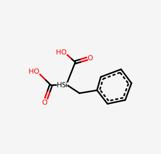 O=C(O)[SiH](Cc1ccccc1)C(=O)O